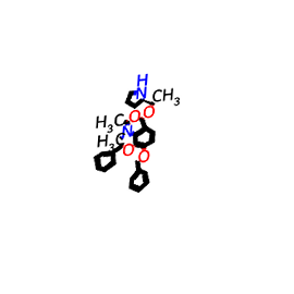 CC(=O)N(C)c1c(COC(C)[C@H]2CCCN2)ccc(OCc2ccccc2)c1OCc1ccccc1